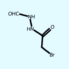 O=CNNC(=O)CBr